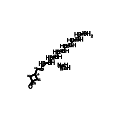 BBBBBBBBBBBBSCC1CC(=O)C1.[NaH].[NaH]